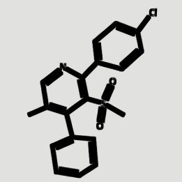 Cc1cnc(-c2ccc(Cl)cc2)c(S(C)(=O)=O)c1-c1ccccc1